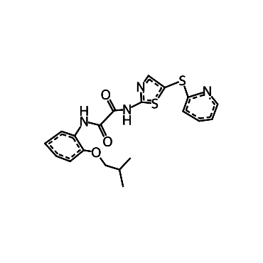 CC(C)COc1ccccc1NC(=O)C(=O)Nc1ncc(Sc2ccccn2)s1